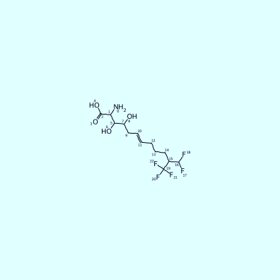 NC(C(=O)O)C(O)C(O)C/C=C/CCCC(C(F)F)C(F)(F)F